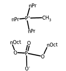 CCCCCCCCOP(=O)([O-])OCCCCCCCC.CCC[P+](C)(CCC)CCC